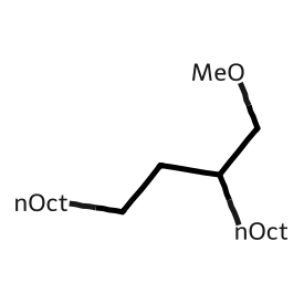 [CH2]OCC(CCCCCCCC)CCCCCCCCCC